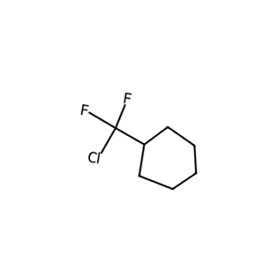 FC(F)(Cl)C1CCCCC1